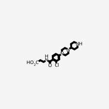 O=C(O)CCNC(=O)c1ccc(N2CCN(C3CCNCC3)CC2)cc1Cl